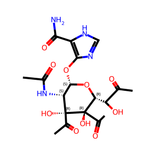 CC(=O)N[C@@H]1[C@H](Oc2nc[nH]c2C(N)=O)O[C@H](C(O)C(C)=O)[C@](O)(C(C)=O)[C@@]1(O)C(C)=O